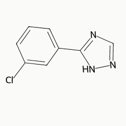 Clc1cccc(-c2ncn[nH]2)c1